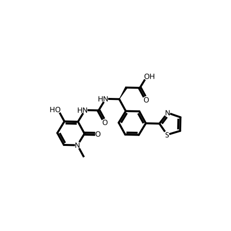 Cn1ccc(O)c(NC(=O)N[C@@H](CC(=O)O)c2cccc(-c3nccs3)c2)c1=O